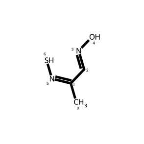 CC(C=NO)=NS